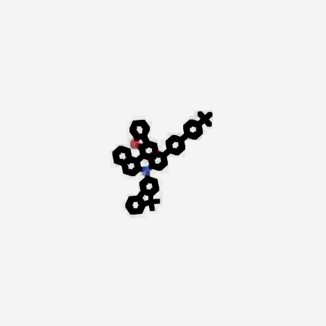 CC(C)(C)c1ccc(-c2ccc(-c3ccc(N(c4ccc5c(c4)-c4ccccc4C5(C)C)c4ccc5ccccc5c4-c4cccc5c4oc4ccccc45)cc3)cc2)cc1